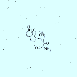 CC(C)C[C@@H]1[C@@H](Cc2ccc(Cl)cc2)COC[C@H](N)C(=O)O[C@H]1C